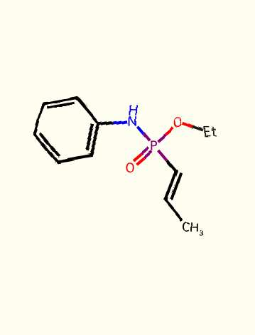 CC=CP(=O)(Nc1ccccc1)OCC